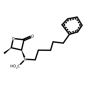 C[C@H]1OC(=O)[C@H]1N(CCCCCc1ccccc1)C(=O)O